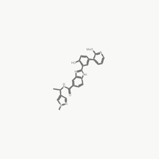 COc1ncccc1-c1ccc(O)c(-c2nc3cc(C(=O)NC(C)c4cnn(C)c4)ccc3[nH]2)c1